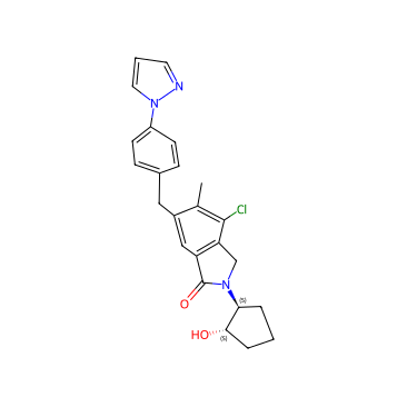 Cc1c(Cc2ccc(-n3cccn3)cc2)cc2c(c1Cl)CN([C@H]1CCC[C@@H]1O)C2=O